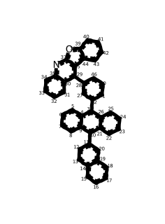 c1cc(-c2c3ccccc3c(-c3ccc4ccccc4c3)c3ccccc23)cc(-c2c3ccccc3nc3oc4ccccc4c23)c1